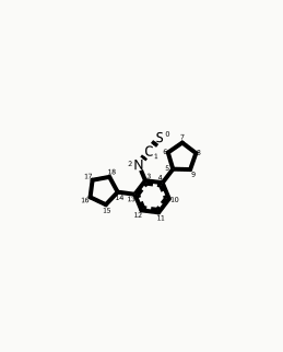 S=C=Nc1c(C2CCCC2)cccc1C1CCCC1